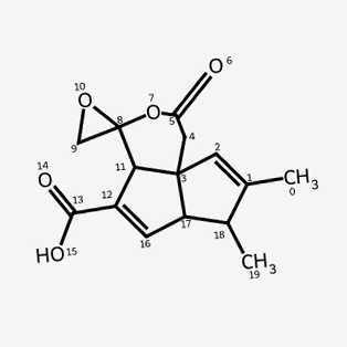 CC1=CC23CC(=O)OC4(CO4)C2C(C(=O)O)=CC3C1C